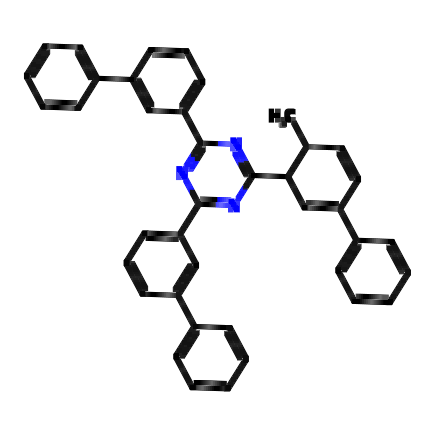 CC1C=CC(c2ccccc2)=CC1c1nc(-c2cccc(-c3ccccc3)c2)nc(-c2cccc(-c3ccccc3)c2)n1